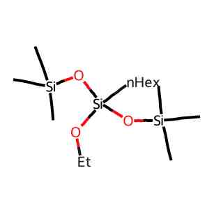 CCCCCC[Si](OCC)(O[Si](C)(C)C)O[Si](C)(C)C